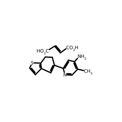 Cc1cnc(C2=Cc3ccsc3CC2)cc1N.O=C(O)C=CC(=O)O